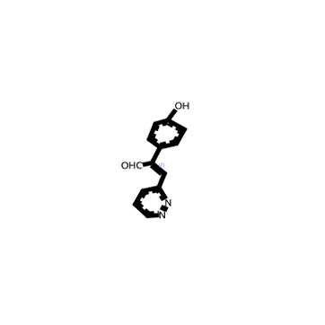 O=C/C(=C\c1cccnn1)c1ccc(O)cc1